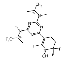 C[C@@H](N(C)c1nc(C2=C(F)[C@H](O)C(F)(F)CC2)nc(N(C)[C@H](C)C(F)(F)F)n1)C(F)(F)F